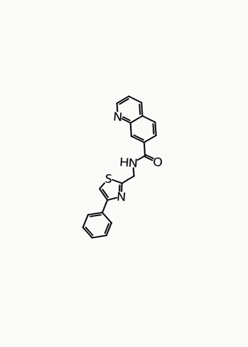 O=C(NCc1nc(-c2ccccc2)cs1)c1ccc2cccnc2c1